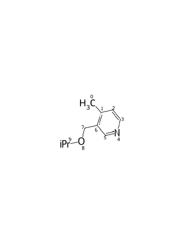 Cc1ccncc1COC(C)C